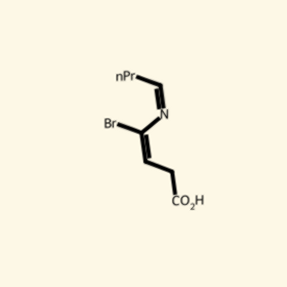 CCC/C=N\C(Br)=C/CC(=O)O